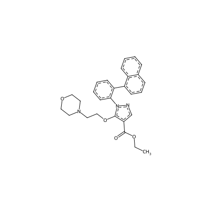 CCOC(=O)c1cnn(-c2ccccc2-c2cccc3ccccc23)c1OCCN1CCOCC1